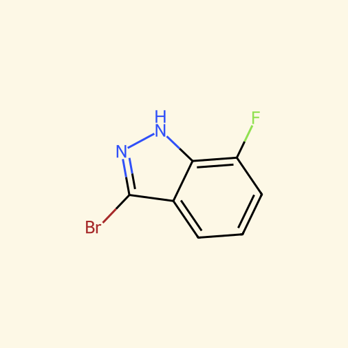 Fc1cccc2c(Br)n[nH]c12